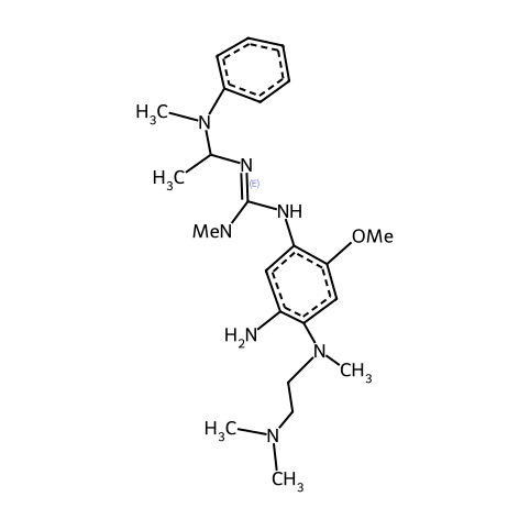 CN/C(=N\C(C)N(C)c1ccccc1)Nc1cc(N)c(N(C)CCN(C)C)cc1OC